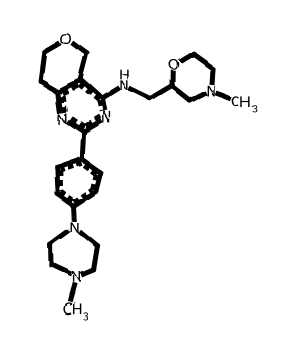 CN1CCN(c2ccc(-c3nc4c(c(NCC5CN(C)CCO5)n3)COCC4)cc2)CC1